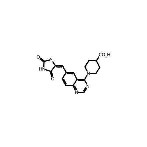 O=C1NC(=O)/C(=C\c2ccc3ncnc(N4CCC(C(=O)O)CC4)c3c2)S1